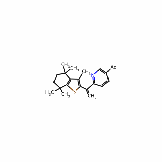 C=C(c1ccc(C(C)=O)cn1)c1sc2c(c1C)C(C)(C)CCC2(C)C